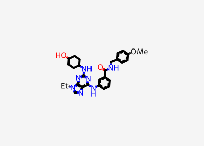 CCn1cnc2c(Nc3cccc(C(=O)NCc4ccc(OC)cc4)c3)nc(NC3CCC(O)CC3)nc21